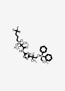 CC[Si](OCC(C)(C)c1nnc(NC(=O)C(C)(C)S(=O)(=O)CCCC(F)(F)F)s1)(c1ccccc1)c1ccccc1